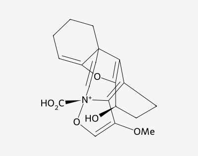 COC1=CO[N@+]2(C(=O)O)C=CC34CCCC=C3OC3=C4C(=C12)CC[C@H]3O